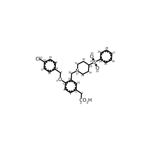 O=C(O)Cc1ccc(OCc2ccc(Cl)cc2)c(CN2CCC(S(=O)(=O)c3ccccc3)CC2)c1